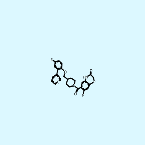 O=C1COc2cc(F)c(C(=O)N3CCC(COc4ccc(F)cc4-c4ccccc4)CC3)cc2N1